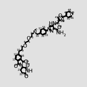 CN(CCOCCOCCCc1ccc2c(c1)C(=O)N(C1CCC(=O)NC1=O)C2=O)Cc1ccc(-n2cc(NCc3coc(-c4ccncc4)n3)c(C(N)=O)n2)cc1